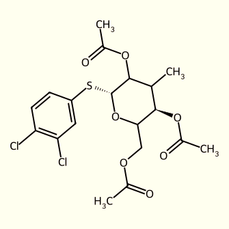 CC(=O)OCC1O[C@H](Sc2ccc(Cl)c(Cl)c2)C(OC(C)=O)C(C)[C@H]1OC(C)=O